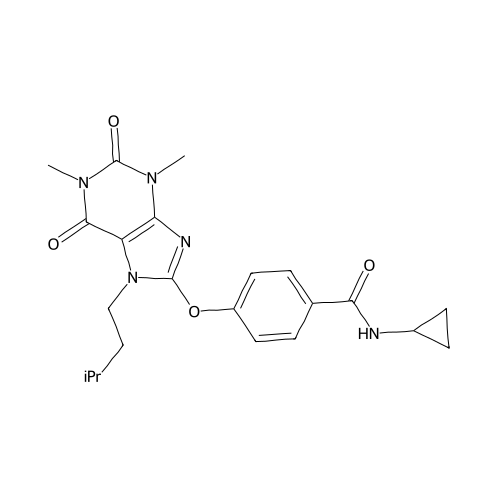 CC(C)CCn1c(Oc2ccc(C(=O)NC3CC3)cc2)nc2c1c(=O)n(C)c(=O)n2C